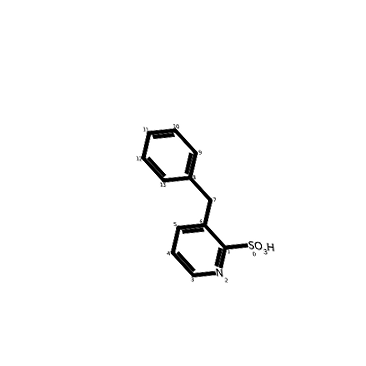 O=S(=O)(O)c1ncccc1Cc1ccccc1